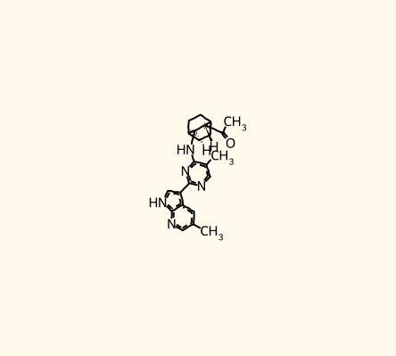 CC(=O)[C@H]1C2CCC(CC2)[C@@H]1Nc1nc(-c2c[nH]c3ncc(C)cc23)ncc1C